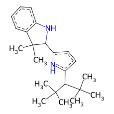 CC(C)(C)C(c1ccc(C2Nc3ccccc3C2(C)C)[nH]1)C(C)(C)C